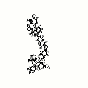 COc1ccc(C2(CCN(Cc3ccc(OC4CCN(CC(=O)Nc5cccc6c5n(C)c(=O)n6C5CCC(=O)NC5=O)CC4)cc3)CC(C)(C)C(F)(F)F)CCC(F)(F)CC2)cc1